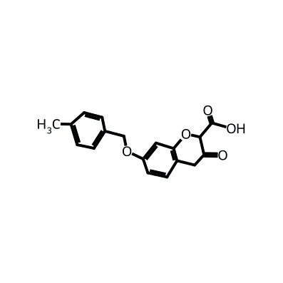 Cc1ccc(COc2ccc3c(c2)OC(C(=O)O)C(=O)C3)cc1